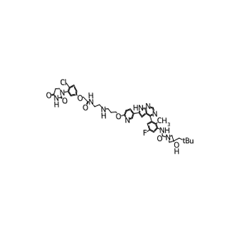 Cc1c(NC(=O)N2CC(O)(CC(C)(C)C)C2)cc(F)cc1-c1ncnc2[nH]c(-c3ccc(OCCCNCCNC(=O)COc4ccc(Cl)c(N5CCC(=O)NC5=O)c4)nc3)cc12